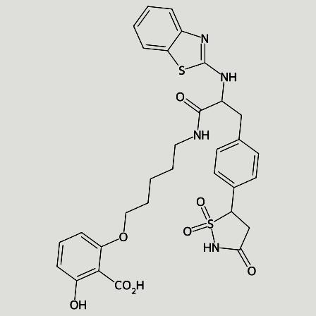 O=C1CC(c2ccc(CC(Nc3nc4ccccc4s3)C(=O)NCCCCCOc3cccc(O)c3C(=O)O)cc2)S(=O)(=O)N1